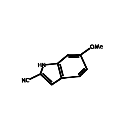 COc1ccc2cc(C#N)[nH]c2c1